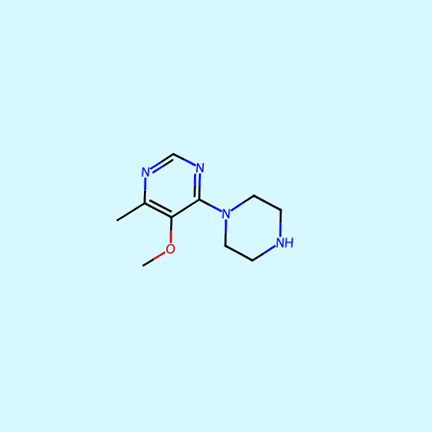 COc1c(C)ncnc1N1CCNCC1